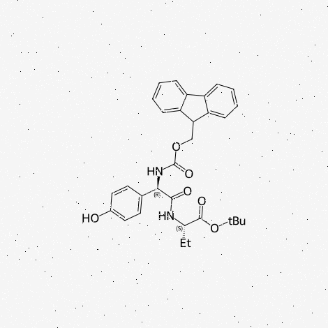 CC[C@H](NC(=O)[C@H](NC(=O)OCC1c2ccccc2-c2ccccc21)c1ccc(O)cc1)C(=O)OC(C)(C)C